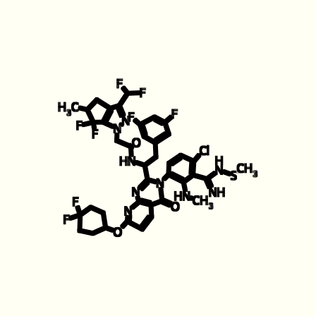 CNc1c(-n2c(C(Cc3cc(F)cc(F)c3)NC(=O)Cn3nc(C(F)F)c4c3C(F)(F)C(C)C4)nc3nc(OC4CCC(F)(F)CC4)ccc3c2=O)ccc(Cl)c1C(=N)NSC